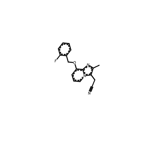 Cc1nc2c(OCc3ccccc3F)cccn2c1CC#N